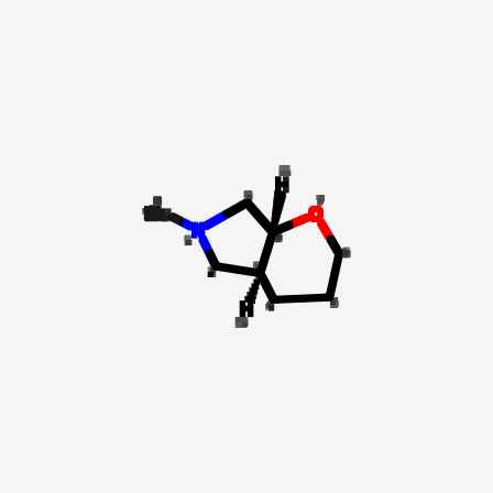 CC(C)(C)N1C[C@@H]2CCCO[C@H]2C1